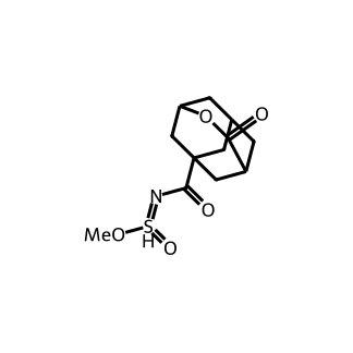 CO[SH](=O)=NC(=O)C12CC3CC(C1)OC(=O)C(C3)C2